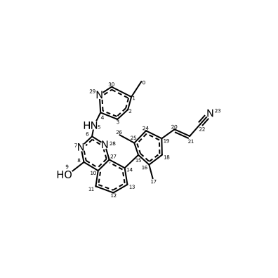 Cc1ccc(Nc2nc(O)c3cccc(-c4c(C)cc(/C=C/C#N)cc4C)c3n2)nc1